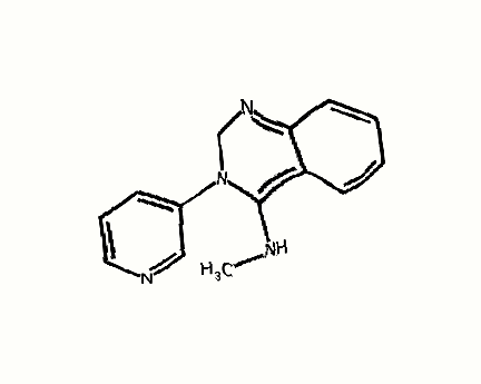 CNC1=c2ccccc2=NCN1c1cccnc1